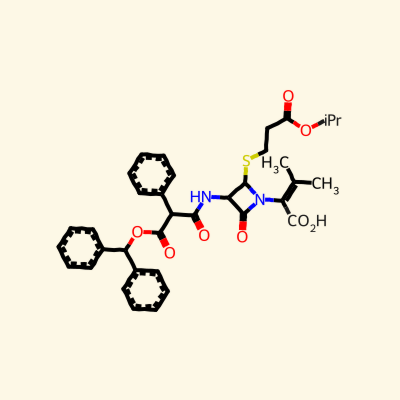 CC(C)=C(C(=O)O)N1C(=O)C(NC(=O)C(C(=O)OC(c2ccccc2)c2ccccc2)c2ccccc2)C1SCCC(=O)OC(C)C